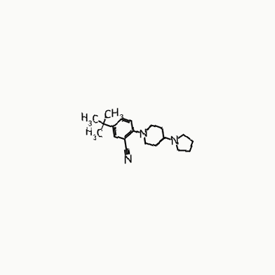 CC(C)(C)c1ccc(N2CCC(N3CCCC3)CC2)c(C#N)c1